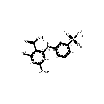 CSc1nc(Cl)c(C(N)=O)c(Nc2cccc(S(=O)(=O)C(F)(F)F)c2)n1